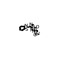 C[S+]([O-])Cn1nnc2c(-c3nc4ccccc4s3)ncn2c1=O